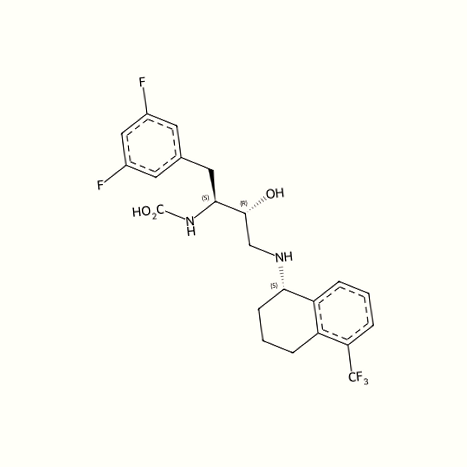 O=C(O)N[C@@H](Cc1cc(F)cc(F)c1)[C@H](O)CN[C@H]1CCCc2c1cccc2C(F)(F)F